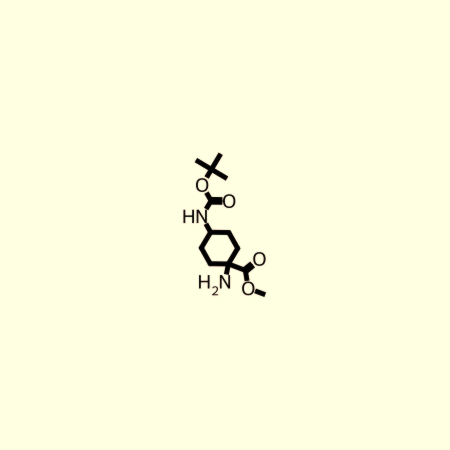 COC(=O)C1(N)CCC(NC(=O)OC(C)(C)C)CC1